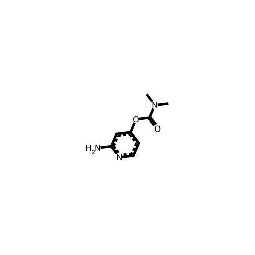 CN(C)C(=O)Oc1ccnc(N)c1